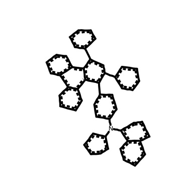 c1ccc(-c2cc(-c3ccccc3)c3c4ccccc4c4ccccc4c3c2-c2ccc(N(c3ccccc3)c3cccc4ccccc34)cc2)cc1